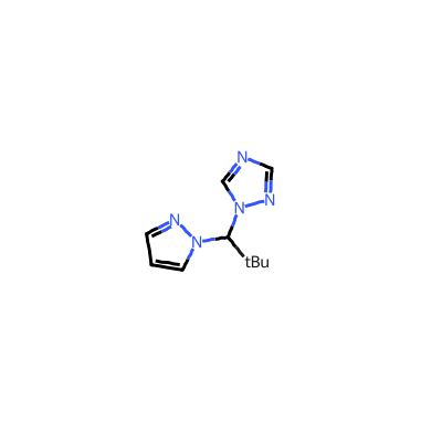 CC(C)(C)C(n1cccn1)n1cncn1